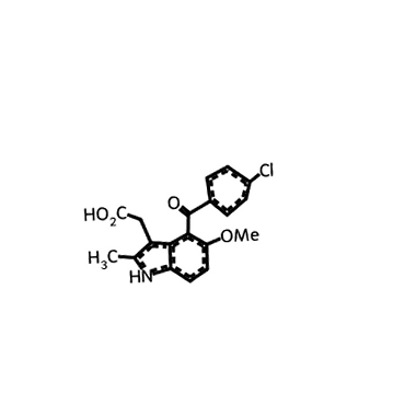 COc1ccc2[nH]c(C)c(CC(=O)O)c2c1C(=O)c1ccc(Cl)cc1